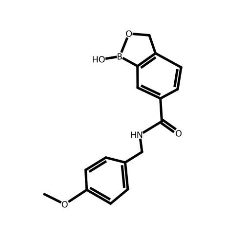 COc1ccc(CNC(=O)c2ccc3c(c2)B(O)OC3)cc1